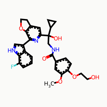 COc1cc(C(=O)NCC(O)(c2cc3c(c(-c4c[nH]c5c(F)cccc45)n2)OCC3)C2CC2)ccc1OCCO